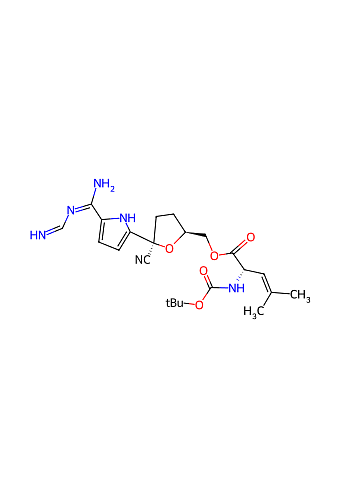 CC(C)=C[C@H](NC(=O)OC(C)(C)C)C(=O)OC[C@@H]1CC[C@](C#N)(c2ccc(/C(N)=N\C=N)[nH]2)O1